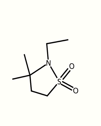 CCN1C(C)(C)CCS1(=O)=O